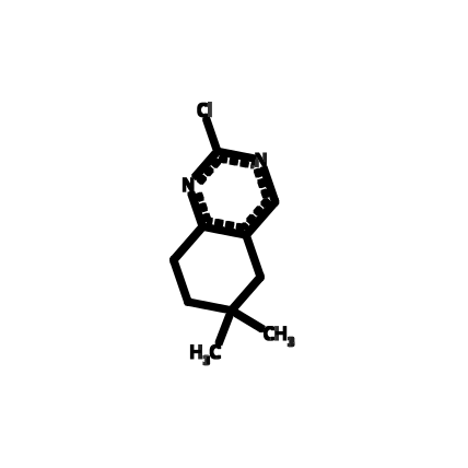 CC1(C)CCc2nc(Cl)ncc2C1